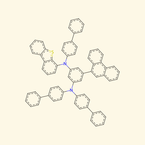 c1ccc(-c2ccc(N(c3ccc(-c4ccccc4)cc3)c3cc(-c4cc5ccccc5c5ccccc45)cc(N(c4ccc(-c5ccccc5)cc4)c4cccc5c4sc4ccccc45)c3)cc2)cc1